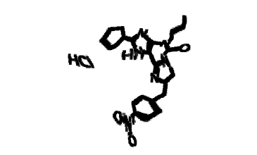 CCCN1C(=O)N2CC(Cc3ccc([N+](=O)[O-])cc3)N=C2c2[nH]c(C3CCCC3)nc21.Cl